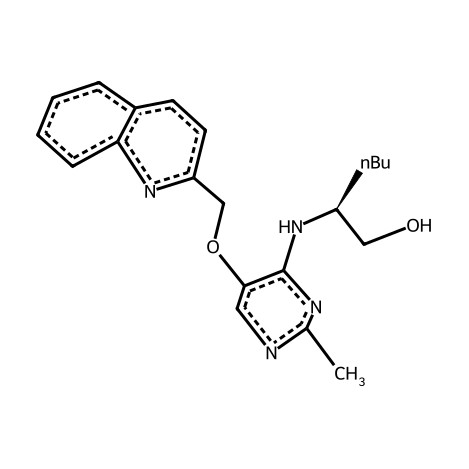 CCCC[C@@H](CO)Nc1nc(C)ncc1OCc1ccc2ccccc2n1